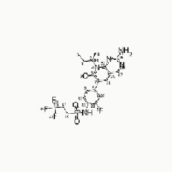 CC[C@@H](C)n1c(=O)c(-c2ccc(NS(=O)(=O)CCC(F)(F)F)c(F)c2)cc2cnc(N)nc21